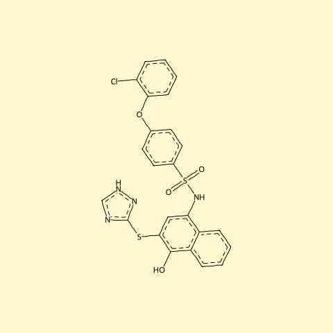 O=S(=O)(Nc1cc(Sc2nc[nH]n2)c(O)c2ccccc12)c1ccc(Oc2ccccc2Cl)cc1